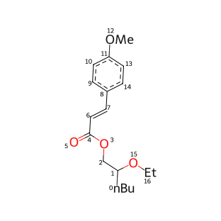 CCCCC(COC(=O)C=Cc1ccc(OC)cc1)OCC